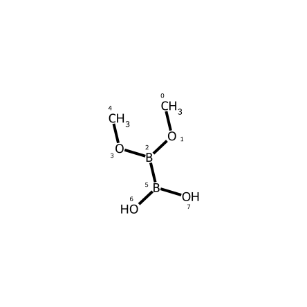 COB(OC)B(O)O